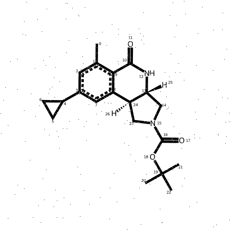 Cc1cc(C2CC2)cc2c1C(=O)N[C@@H]1CN(C(=O)OC(C)(C)C)C[C@@H]21